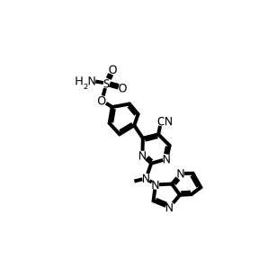 CN(c1ncc(C#N)c(-c2ccc(OS(N)(=O)=O)cc2)n1)n1cnc2cccnc21